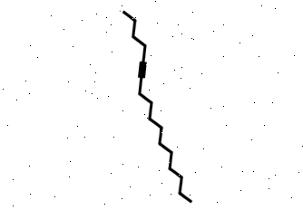 [CH2]CCCC#CCCCCCCCCCC